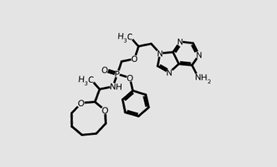 CC(Cn1cnc2c(N)ncnc21)OCP(=O)(NC(C)C1OCCCCCO1)Oc1ccccc1